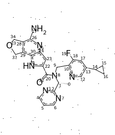 C[C@H](c1ncccn1)N(Cc1ncc(C2CC2)cc1F)C(=O)c1cc2nc(N)c3c(c2[nH]1)COC3